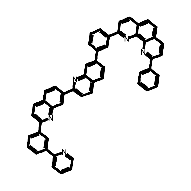 c1ccc(-c2ccc3ccc4ccc(-c5cccc(-c6ccc7ccc(-c8ccc9ccc(-c%10cccc(-c%11ccccn%11)c%10)nc9c8)nc7c6)c5)nc4c3n2)cc1